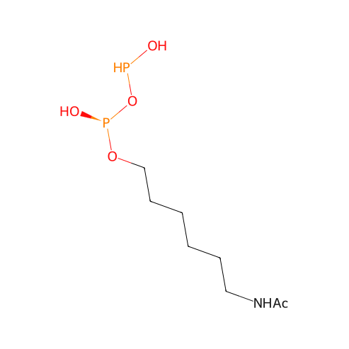 CC(=O)NCCCCCCO[P@@](O)OPO